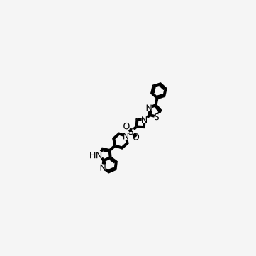 O=S(=O)(C1CN(c2nc(-c3ccccc3)cs2)C1)N1CCC(c2c[nH]c3ncccc23)CC1